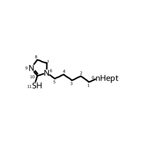 CCCCCCCCCCCCN1CCN=C1S